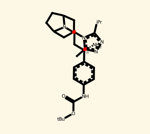 Cc1nnc(C(C)C)n1C1CC2CCC(C1)N2CC[C@H](N)c1ccc(NC(=O)OC(C)(C)C)cc1